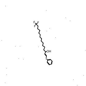 OC(C=CSc1ccccc1)CCCCCCCCCCCCC(F)(F)F